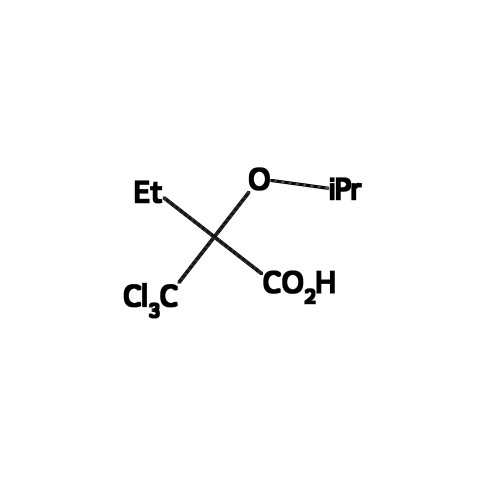 CCC(OC(C)C)(C(=O)O)C(Cl)(Cl)Cl